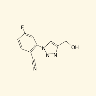 N#Cc1ccc(F)cc1-n1cc(CO)nn1